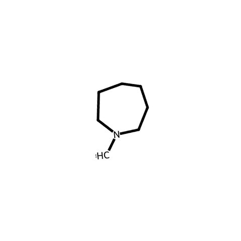 [CH]N1CCCCCC1